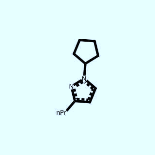 CCCc1ccn(C2CCCC2)n1